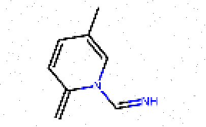 C=C1C=CC(C)=CN1C=N